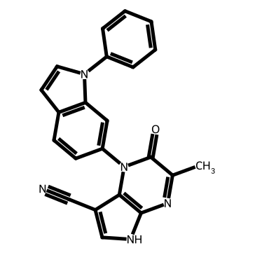 Cc1nc2[nH]cc(C#N)c2n(-c2ccc3ccn(-c4ccccc4)c3c2)c1=O